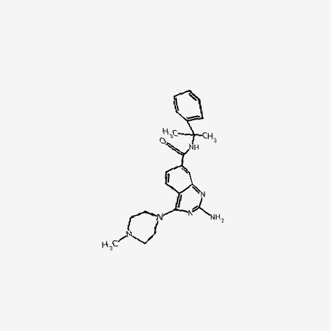 CN1CCN(c2nc(N)nc3cc(C(=O)NC(C)(C)c4ccccc4)ccc23)CC1